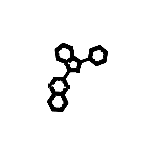 c1ccc(-c2nc(-c3cnc4ccccc4n3)n3ccccc23)cc1